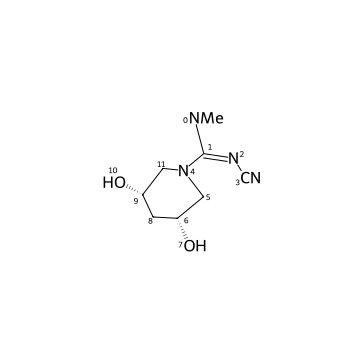 CN/C(=N/C#N)N1C[C@H](O)C[C@H](O)C1